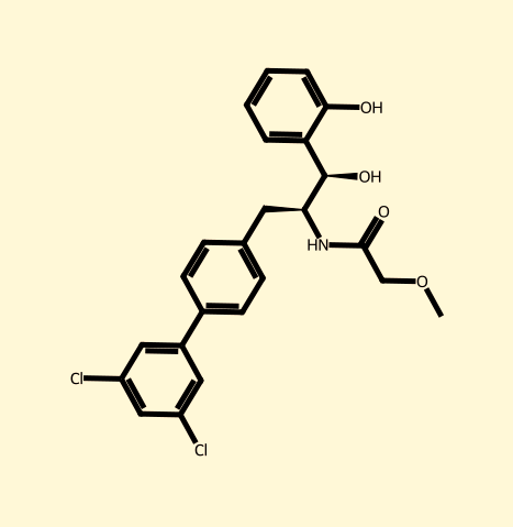 COCC(=O)N[C@@H](Cc1ccc(-c2cc(Cl)cc(Cl)c2)cc1)[C@H](O)c1ccccc1O